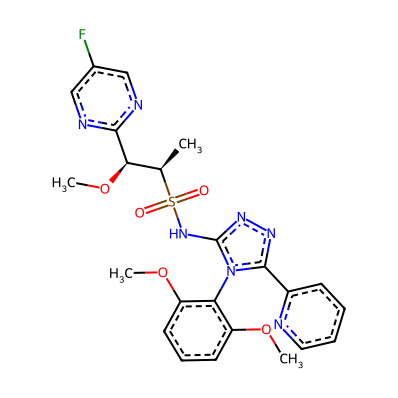 COc1cccc(OC)c1-n1c(NS(=O)(=O)[C@H](C)[C@@H](OC)c2ncc(F)cn2)nnc1-c1ccccn1